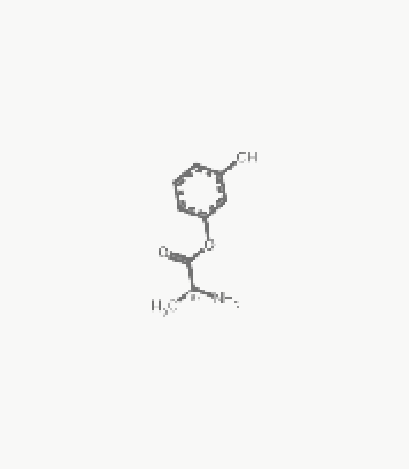 C[C@H](N)C(=O)Oc1cccc(O)c1